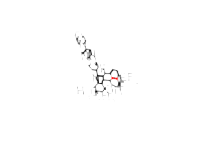 CC1(C)Cc2nc(C3CCN(c4ncc(N5CCOCC5)cn4)CC3)c(C(F)c3ccc(C(F)(F)F)cc3)c(C3CCC(F)(F)CC3)c2C(O)C1